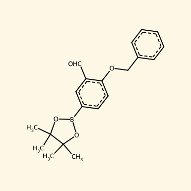 CC1(C)OB(c2ccc(OCc3ccccc3)c(C=O)c2)OC1(C)C